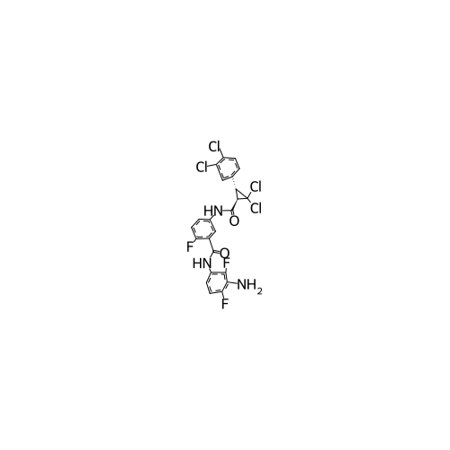 Nc1c(F)ccc(NC(=O)c2cc(NC(=O)[C@H]3[C@H](c4ccc(Cl)c(Cl)c4)C3(Cl)Cl)ccc2F)c1F